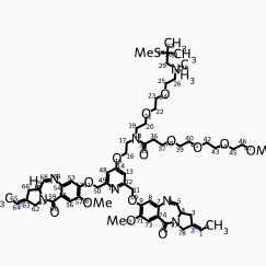 C/C=C1\CC2C=Nc3cc(OCc4cc(OCCN(CCOCCOCCN(C)CC(C)(C)SC)C(=O)CCOCCOCCOCCOC)cc(COc5cc6c(cc5OC)C(=O)N5C/C(=C/C)C[C@H]5C=N6)n4)c(OC)cc3C(=O)N2C1